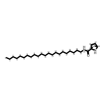 CCCCCCCCCCCCCCCCCCCCCCNC(=O)C12CCC(N1)O2